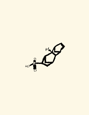 O=S(=O)(O)C1CC2CC1[C@@H]1C3CCC(C3)C21